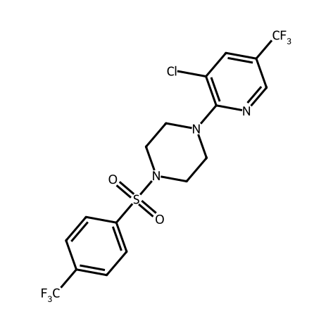 O=S(=O)(c1ccc(C(F)(F)F)cc1)N1CCN(c2ncc(C(F)(F)F)cc2Cl)CC1